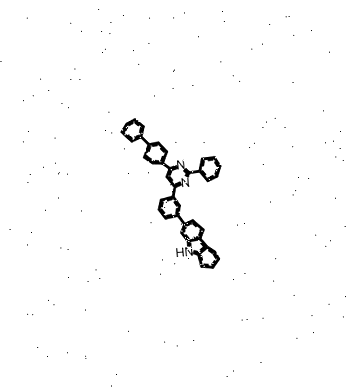 c1ccc(-c2ccc(-c3cc(-c4cccc(-c5ccc6c(c5)[nH]c5ccccc56)c4)nc(-c4ccccc4)n3)cc2)cc1